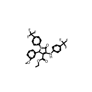 CCOC(=O)C1=C(Nc2ccc(C(F)(F)F)cc2)C(=O)N(c2ccc(C(F)(F)F)cc2)C1c1cccc(OC)c1